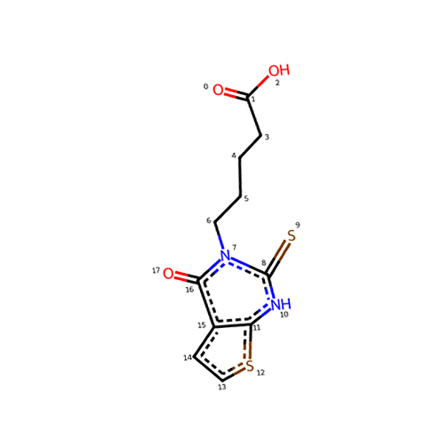 O=C(O)CCCCn1c(=S)[nH]c2sccc2c1=O